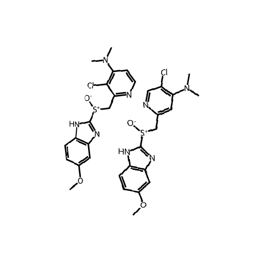 COc1ccc2[nH]c([S+]([O-])Cc3cc(N(C)C)c(Cl)cn3)nc2c1.COc1ccc2[nH]c([S+]([O-])Cc3nccc(N(C)C)c3Cl)nc2c1